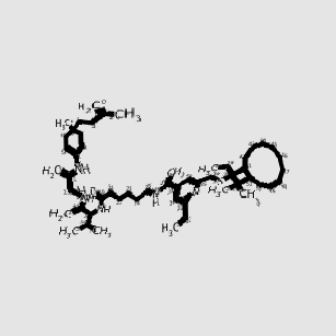 C=C(C)CCC1(C)C=CC(NC(=C)CNC(=C)C(NC(=C)CCCCCNC(=C)c2cc(CC)nc(CSC3(CC)C4CCCCCCCCCC4C3(C)C)c2)C(C)C)=CC1